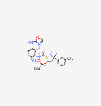 CC(C)(C)C(=O)OCCC(C)(NSC(=O)Nc1c(N)cccc1Cn1ccoc1=N)c1cccc(C(F)(F)F)c1